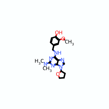 COc1cc(CNc2nc(N(C)C)nc3c2ncn3C2CCCO2)ccc1O